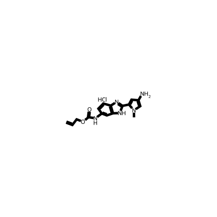 C=CCOC(=O)Nc1ccc2nc(-c3cc(N)cn3C)[nH]c2c1.Cl